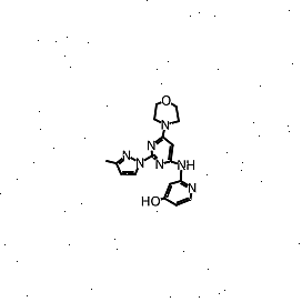 Cc1ccn(-c2nc(Nc3cc(O)ccn3)cc(N3CCOCC3)n2)n1